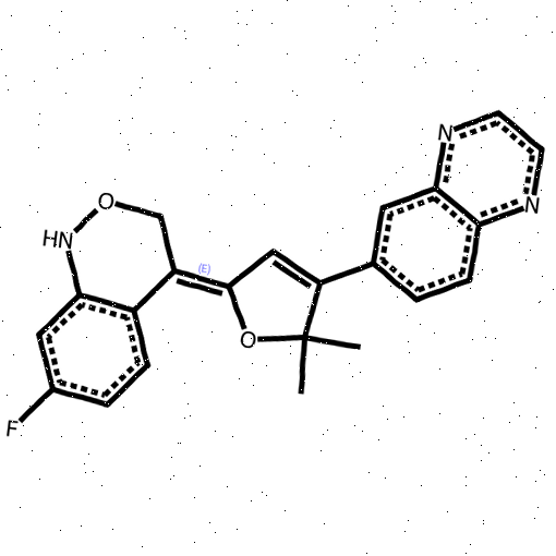 CC1(C)O/C(=C2/CONc3cc(F)ccc32)C=C1c1ccc2nccnc2c1